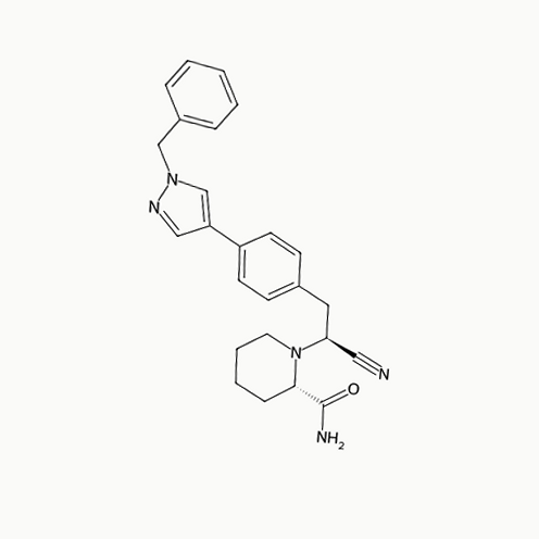 N#C[C@H](Cc1ccc(-c2cnn(Cc3ccccc3)c2)cc1)N1CCCC[C@H]1C(N)=O